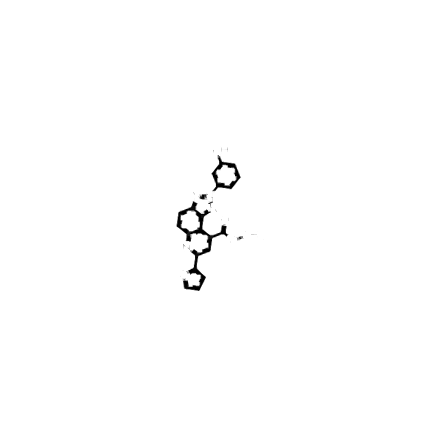 COC(=O)c1cc(-c2ccco2)nc2ccc3nn(-c4cccc(C)c4)nc3c12